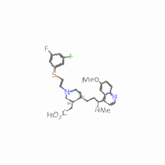 CNC(CC[C@@H]1CCN(CCSc2cc(F)cc(F)c2)C[C@@H]1CC(=O)O)c1ccnc2ccc(OC)cc12